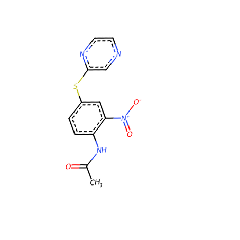 CC(=O)Nc1ccc(Sc2cnccn2)cc1[N+](=O)[O-]